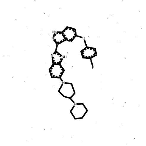 Fc1ccc(Oc2ccc3[nH]nc(-c4nc5ccc(N6CCC(N7CCCCC7)CC6)cc5[nH]4)c3c2)cc1